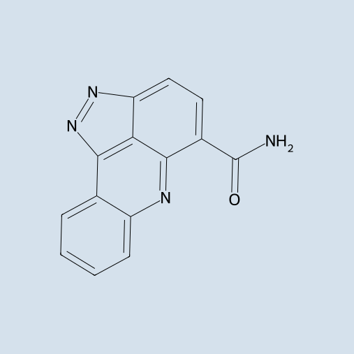 NC(=O)c1ccc2c3c(c4ccccc4nc13)N=N2